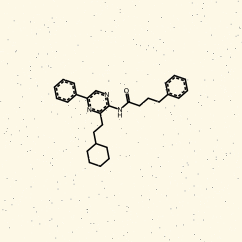 O=C(CCCc1ccccc1)Nc1ncc(-c2ccccc2)nc1CCC1CCCCC1